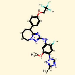 COc1cc(Nc2nc3n(n2)CCCCC3c2ccc(OCC(F)(F)F)cc2)c(F)cc1-n1cnc(C)n1